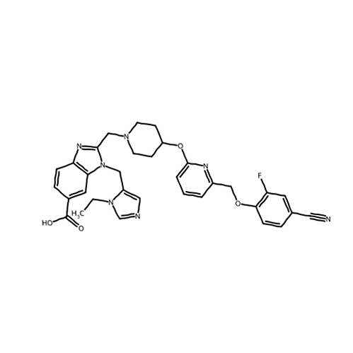 CCn1cncc1Cn1c(CN2CCC(Oc3cccc(COc4ccc(C#N)cc4F)n3)CC2)nc2ccc(C(=O)O)cc21